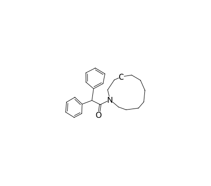 O=C(C(c1ccccc1)c1ccccc1)N1CCCCCCCCCC1